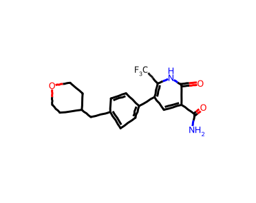 NC(=O)c1cc(-c2ccc(CC3CCOCC3)cc2)c(C(F)(F)F)[nH]c1=O